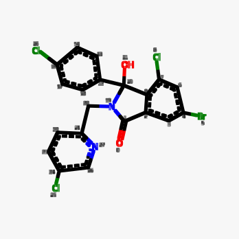 O=C1c2cc(Br)cc(Cl)c2C(O)(c2ccc(Cl)cc2)N1Cc1ccc(Cl)cn1